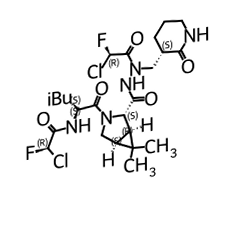 CC[C@H](C)[C@H](NC(=O)[C@H](F)Cl)C(=O)N1C[C@H]2[C@@H]([C@H]1C(=O)NN(C[C@@H]1CCCNC1=O)C(=O)[C@H](F)Cl)C2(C)C